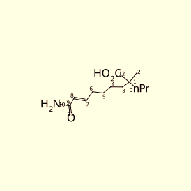 CCCC(C)(CCCCC=CC(N)=O)C(=O)O